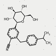 CC(C)c1ccc(Cc2cc([C@@H]3O[C@H](CO)[C@@H](O)[C@H](O)[C@H]3O)ccc2C#N)cc1